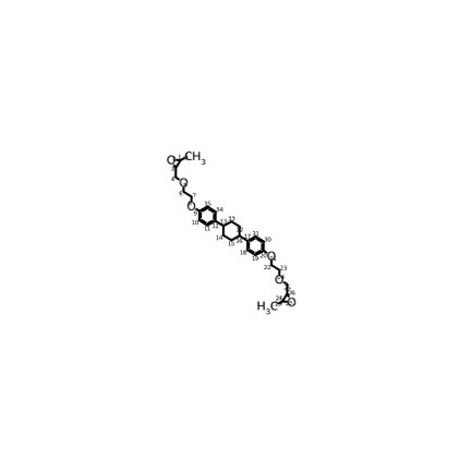 CC1OC1COCCOc1ccc(C2CCC(c3ccc(OCCOCC4OC4C)cc3)CC2)cc1